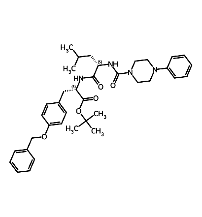 CC(C)C[C@H](NC(=O)N1CCN(c2ccccc2)CC1)C(=O)N[C@@H](Cc1ccc(OCc2ccccc2)cc1)C(=O)OC(C)(C)C